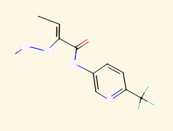 C/C=C(\NNC)C(=O)Nc1ccc(C(F)(F)F)nc1